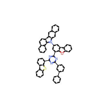 c1ccc(-c2cccc(-c3nc(-c4cc(-n5c6cc7ccccc7cc6c6ccc7ccccc7c65)cc5c4oc4ccccc45)nc(-c4cccc5c4sc4ccccc45)n3)c2)cc1